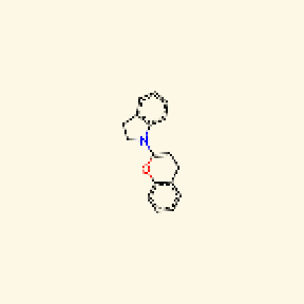 C1=C(N2CCc3ccccc32)Oc2ccccc2C1